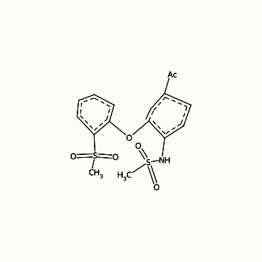 CC(=O)c1ccc(NS(C)(=O)=O)c(Oc2ccccc2S(C)(=O)=O)c1